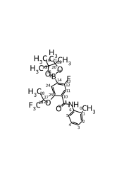 Cc1ccccc1NC(=O)c1cc(F)c(B2OC(C)(C)C(C)(C)O2)cc1OC(C)C(F)(F)F